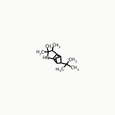 CC1C2=C3CC(=C2NC1(C)C)C3C(C)(C)C